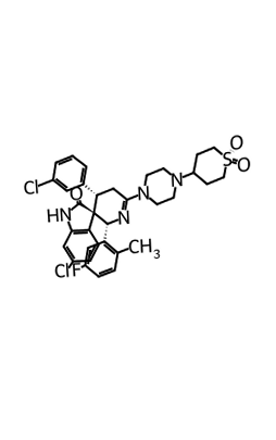 Cc1ccc(F)cc1[C@H]1N=C(N2CCN(C3CCS(=O)(=O)CC3)CC2)C[C@@H](c2cccc(Cl)c2)[C@]12C(=O)Nc1cc(Cl)ccc12